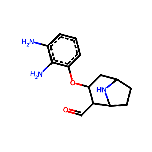 Nc1cccc(OC2CC3CCC(N3)C2[C]=O)c1N